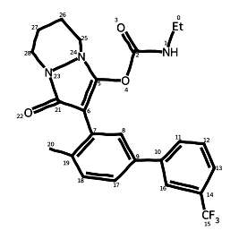 CCNC(=O)Oc1c(-c2cc(-c3cccc(C(F)(F)F)c3)ccc2C)c(=O)n2n1CCCC2